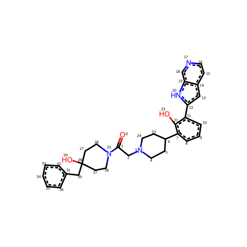 O=C(CN1CCC(c2cccc(-c3cc4ccncc4[nH]3)c2O)CC1)N1CCC(O)(Cc2ccccc2)CC1